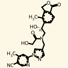 Cc1cc(-n2cc(CN(C[C@H](O)c3ccc4c(c3C)COC4=O)C(=O)CO)cn2)ncc1C#N